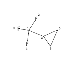 FC(F)(F)C1[CH]C1